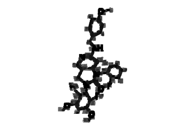 COc1ccc(CNc2ncc3c(c2C)N(c2ccccc2F)C(=O)N(c2c(F)c(OC)cc(OC)c2F)C3)cc1